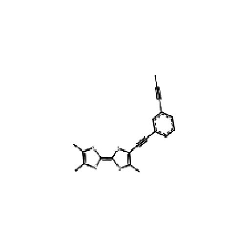 CC#Cc1cccc(C#CC2=C(C)SC(=C3SC(C)=C(C)S3)S2)c1